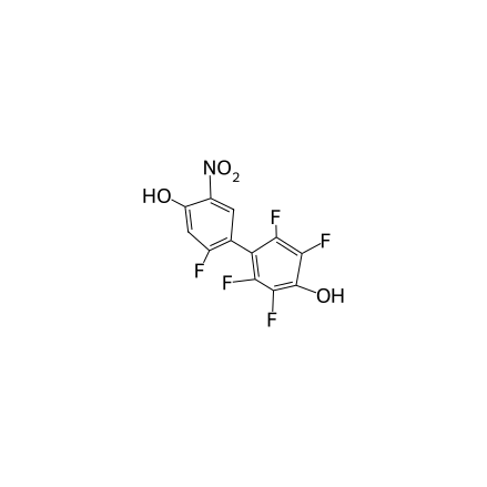 O=[N+]([O-])c1cc(-c2c(F)c(F)c(O)c(F)c2F)c(F)cc1O